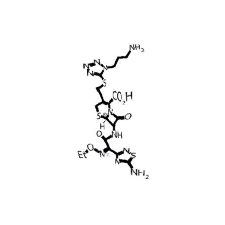 CCO/N=C(\C(=O)NC1C(=O)N2C(C(=O)O)=C(CSc3nnnn3CCCN)CS[C@H]12)c1nsc(N)n1